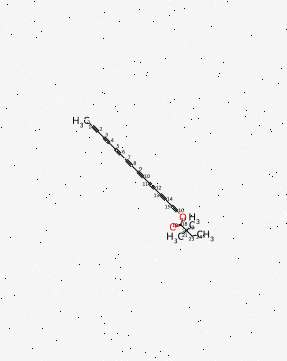 CC#CC#CC#CC#CC#CC#CC#CC#COC(=O)C(C)(C)CC